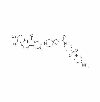 N=C1C(=O)CCC(N2C(=O)c3cc(F)c(N4CCC5(CC4)CC(C(=O)N4CCC(S(=O)(=O)N6CCC(N)CC6)CC4)C5)cc3C2=O)C1=O